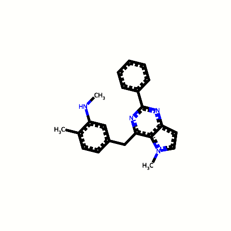 CNc1cc(Cc2nc(-c3ccccc3)nc3ccn(C)c23)ccc1C